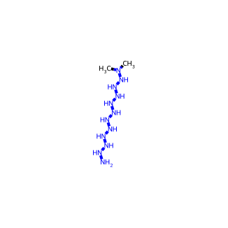 CN(C)NNNNNNNNNNN